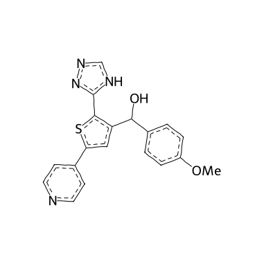 COc1ccc(C(O)c2cc(-c3ccncc3)sc2-c2nnc[nH]2)cc1